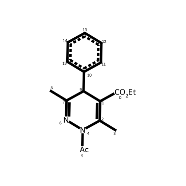 CCOC(=O)C1=C(C)N(C(C)=O)N=C(C)C1c1ccccc1